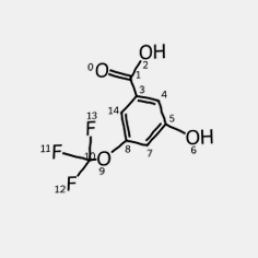 O=C(O)c1cc(O)cc(OC(F)(F)F)c1